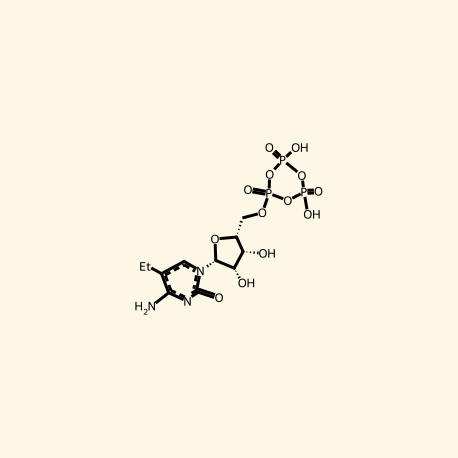 CCc1cn([C@@H]2O[C@H](COP3(=O)OP(=O)(O)OP(=O)(O)O3)[C@H](O)[C@@H]2O)c(=O)nc1N